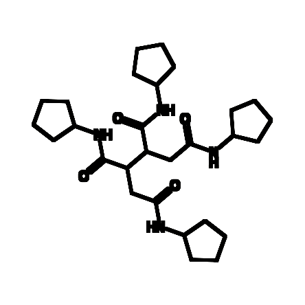 O=C(CC(C(=O)NC1CCCC1)C(CC(=O)NC1CCCC1)C(=O)NC1CCCC1)NC1CCCC1